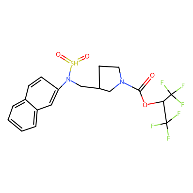 O=C(OC(C(F)(F)F)C(F)(F)F)N1CCC(CN(c2ccc3ccccc3c2)[SH](=O)=O)C1